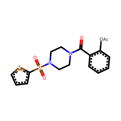 CC(=O)Oc1ccccc1C(=O)N1CCN(S(=O)(=O)c2cccs2)CC1